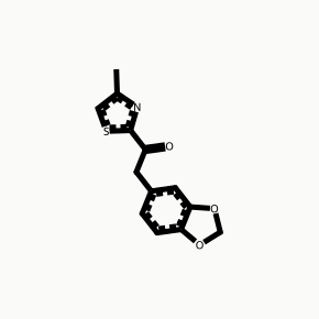 Cc1csc(C(=O)Cc2ccc3c(c2)OCO3)n1